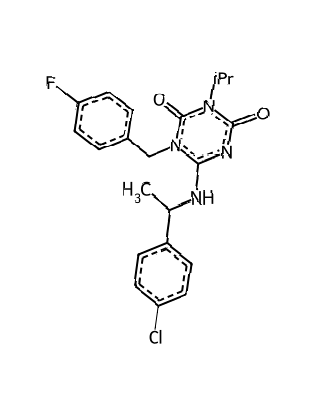 CC(Nc1nc(=O)n(C(C)C)c(=O)n1Cc1ccc(F)cc1)c1ccc(Cl)cc1